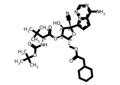 CC(C)(C)OC(=O)N[C@@H](C(=O)O[C@H]1[C@@H](O)[C@](C#N)(c2ccc3c(N)ncnn23)O[C@@H]1COC(=O)CC1CCCCC1)C(C)(C)C